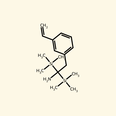 C=Cc1cccc(CC(N)([Si](C)(C)C)[Si](C)(C)C)c1